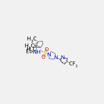 CCNC1C[C@@]2(C)CC[C@]1(CS(=O)(=O)N1CCN(c3ccc(C(F)(F)F)cn3)CC1)C2(C)C